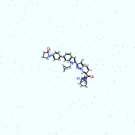 Cc1c(-c2cc3ccc(-c4ccc(N5CCCC5=O)cc4)cc3n2CC2CC2)nn2cc(C(=O)N3CC4CCC3[C@@H]4N)ccc12